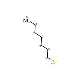 N#CCCCCCC[S]